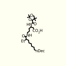 CCCCCCCCCCCCCCCCC(CC)C(=O)NCCCC(CC(=O)O)NC(=O)C1OC(C)(C)OCC1(C)C